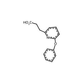 O=C(O)CCc1cccc(Oc2ccccc2)n1